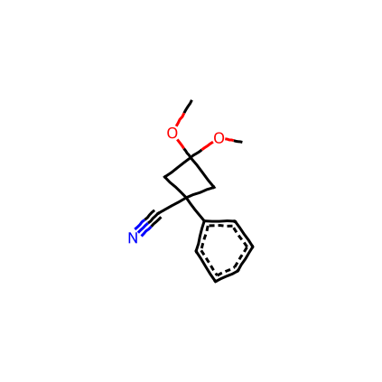 COC1(OC)CC(C#N)(c2ccccc2)C1